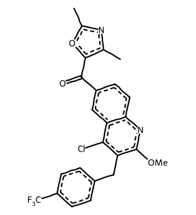 COc1nc2ccc(C(=O)c3oc(C)nc3C)cc2c(Cl)c1Cc1ccc(C(F)(F)F)cc1